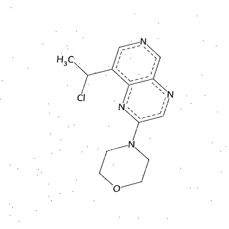 CC(Cl)c1cncc2ncc(N3CCOCC3)nc12